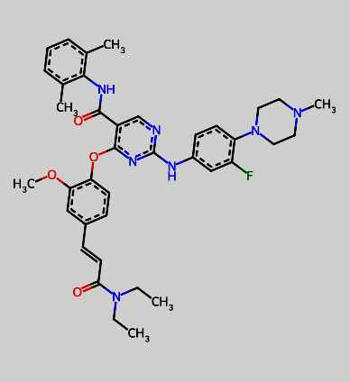 CCN(CC)C(=O)C=Cc1ccc(Oc2nc(Nc3ccc(N4CCN(C)CC4)c(F)c3)ncc2C(=O)Nc2c(C)cccc2C)c(OC)c1